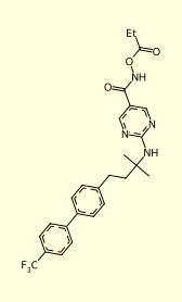 CCC(=O)ONC(=O)c1cnc(NC(C)(C)CCc2ccc(-c3ccc(C(F)(F)F)cc3)cc2)nc1